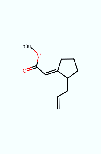 C=CCC1CCCC1=CC(=O)OC(C)(C)C